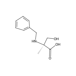 C[C@@](CO)(NCc1ccccc1)C(=O)O